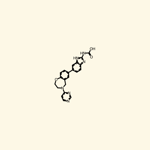 O=C(O)Nc1nc2ccc(-c3ccc4c(c3)CN(c3ccncn3)CCO4)cc2[nH]1